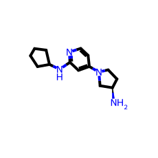 N[C@@H]1CCN(c2ccnc(NC3CCCC3)c2)C1